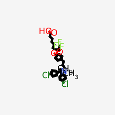 CN(CCCc1ccc(OC(CCCCCC(=O)O)C(=O)C(F)(F)F)cc1)C(C)(c1ccc(Cl)cc1)c1ccc(Cl)cc1